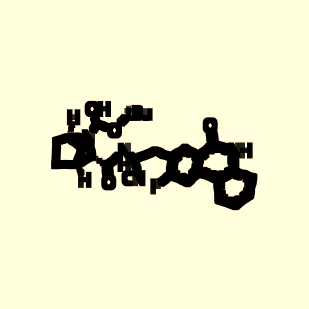 CC(C)(C)OC(O)N1[C@@H]2CC[C@@H](C2)[C@H]1C(=O)NC(C#N)Cc1cc2c(=O)[nH]c3ccccc3c2cc1F